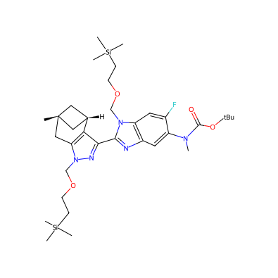 CN(C(=O)OC(C)(C)C)c1cc2nc(-c3nn(COCC[Si](C)(C)C)c4c3[C@H]3C[C@@](C)(C4)C3)n(COCC[Si](C)(C)C)c2cc1F